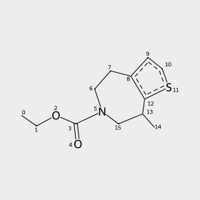 CCOC(=O)N1CCc2ccsc2C(C)C1